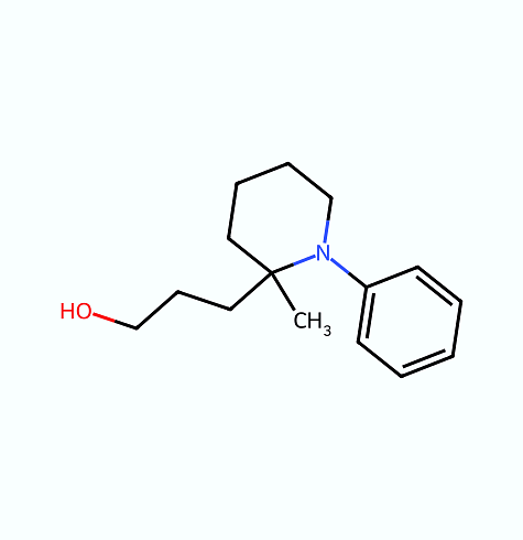 CC1(CCCO)CCCCN1c1ccccc1